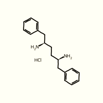 Cl.N[C@H](CC[C@@H](N)Cc1ccccc1)Cc1ccccc1